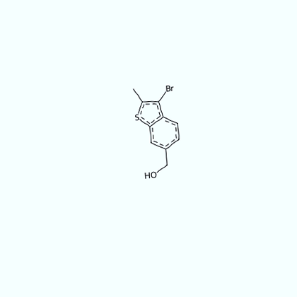 Cc1sc2cc(CO)ccc2c1Br